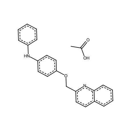 CC(=O)O.c1ccc(Nc2ccc(OCc3ccc4ccccc4n3)cc2)cc1